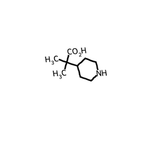 CC(C)(C(=O)O)C1CCNCC1